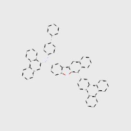 c1ccc(-c2ccc(N(c3ccc4oc5c(-c6ccc7c8ccccc8c8ccccc8c7c6)c6ccccc6cc5c4c3)c3cc4ccccc4c4ccccc34)cc2)cc1